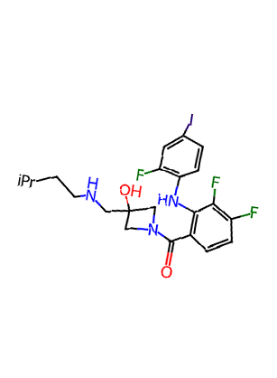 CC(C)CCNCC1(O)CN(C(=O)c2ccc(F)c(F)c2Nc2ccc(I)cc2F)C1